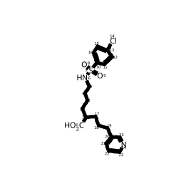 O=C(O)C(CCCCNS(=O)(=O)c1ccc(Cl)cc1)CCCc1cccnc1